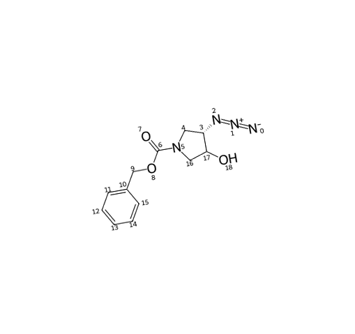 [N-]=[N+]=N[C@H]1CN(C(=O)OCc2ccccc2)CC1O